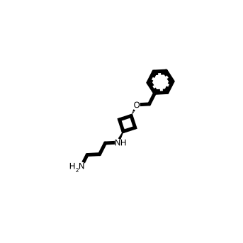 NCCCN[C@H]1C[C@H](OCc2ccccc2)C1